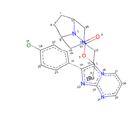 CC(C)(C)COC(=O)N1C2CCC1CN(Cc1c(-c3ccc(Cl)cc3)nc3ncccn13)C2